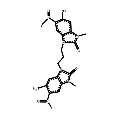 Cn1c(=O)n(CCCn2c(=O)n(C)c3cc(N)c([N+](=O)[O-])cc32)c2cc(N)c([N+](=O)[O-])cc21